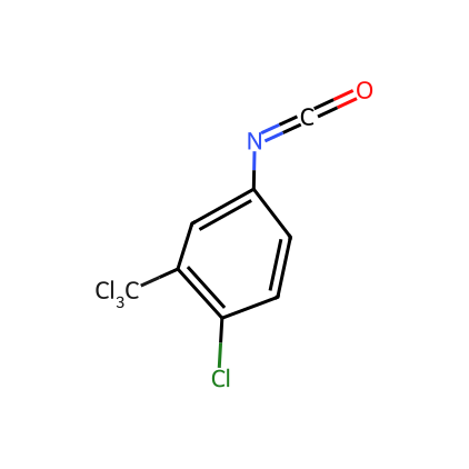 O=C=Nc1ccc(Cl)c(C(Cl)(Cl)Cl)c1